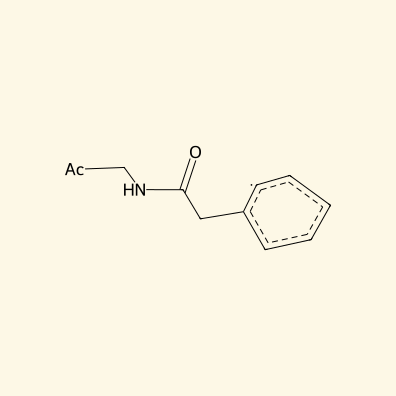 CC(=O)CNC(=O)Cc1[c]cccc1